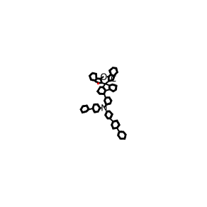 c1ccc(-c2ccc(-c3ccc(N(c4ccc(-c5ccccc5)cc4)c4cccc(-c5cccc6c5-c5ccccc5C65c6ccc7ccccc7c6Oc6c5ccc5ccccc65)c4)cc3)cc2)cc1